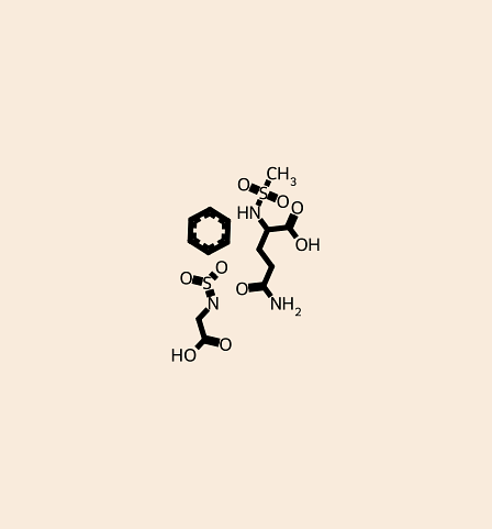 CS(=O)(=O)NC(CCC(N)=O)C(=O)O.O=C(O)CN=S(=O)=O.c1ccccc1